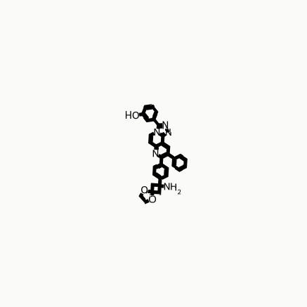 NC1(c2ccc(-c3nc4ccn5c(-c6cccc(O)c6)nnc5c4cc3-c3ccccc3)cc2)CC2(C1)OCCO2